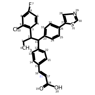 CCC(c1ccc(F)cc1Cl)C(c1ccc(/C=C/C(=O)O)cc1)c1ccc(-c2cncs2)cc1